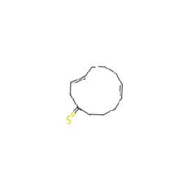 S=C1C/C=C/CCC/C=C\CCC1